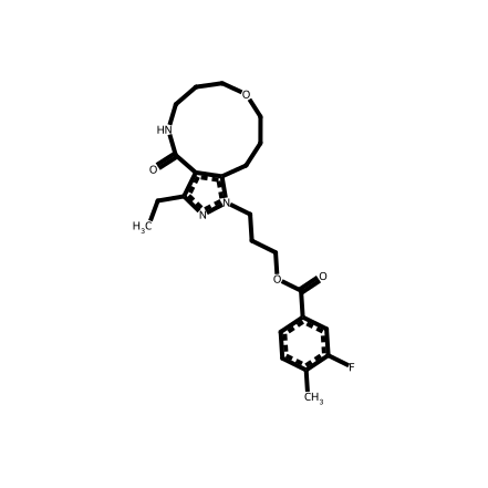 CCc1nn(CCCOC(=O)c2ccc(C)c(F)c2)c2c1C(=O)NCCCOCCC2